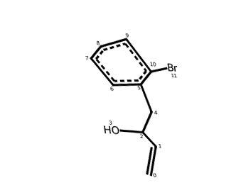 C=CC(O)Cc1ccccc1Br